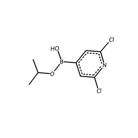 CC(C)OB(O)c1cc(Cl)nc(Cl)c1